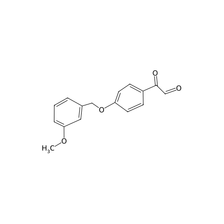 COc1cccc(COc2ccc(C(=O)C=O)cc2)c1